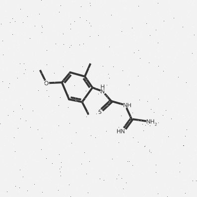 COc1cc(C)c(NC(=S)NC(=N)N)c(C)c1